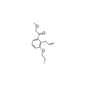 C=CCc1c(OCCC)cccc1C(=O)COC